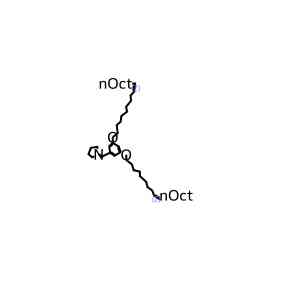 CCCCCCCC/C=C\CCCCCCCCOc1cc(CN2CCCC2)cc(OCCCCCCCC/C=C\CCCCCCCC)c1